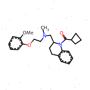 COc1ccccc1OCCN(C)CC1CCc2ccccc2N1C(=O)C1CCC1